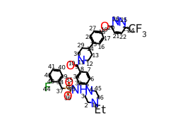 CCN1CCN(c2ccc(C(=O)N3CCC(c4ccc(Oc5ccc(C(F)(F)F)nn5)cc4)CC3)cc2NS(=O)(=O)Cc2ccccc2F)CC1